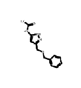 CC(=O)Nc1cc(COCc2ccccc2)n[nH]1